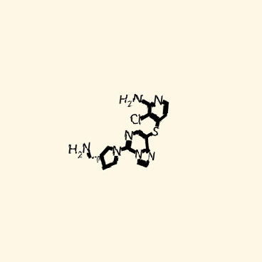 NC[C@H]1CCN(c2ncc(Sc3ccnc(N)c3Cl)c3nccn23)C1